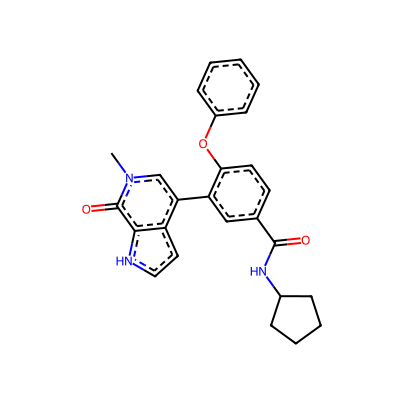 Cn1cc(-c2cc(C(=O)NC3CCCC3)ccc2Oc2ccccc2)c2cc[nH]c2c1=O